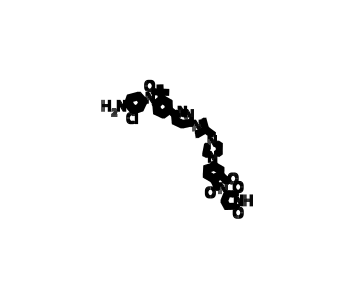 CC1(C)C(=O)N(c2ccc(N)c(Cl)c2)c2ccc(-c3ccc(N4CC(CN5CCN(c6ccc7c(c6)C(=O)N(C6CCC(=O)NC6=O)C7=O)CC5)C4)nn3)cc21